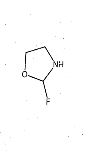 FC1NCCO1